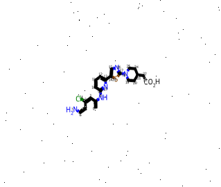 C=C(/C=C(Cl)\C=C/N)Nc1cccc(-c2cnc(N3CCC(CC(=O)O)CC3)s2)n1